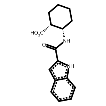 O=C(N[C@H]1CCCC[C@H]1C(=O)O)c1cc2ccccc2[nH]1